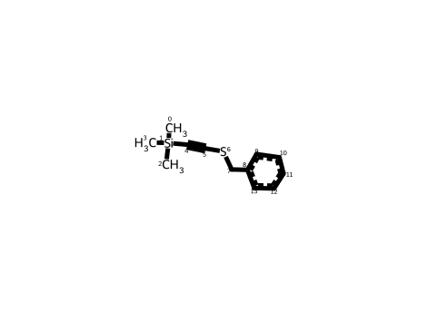 C[Si](C)(C)C#CSCc1ccccc1